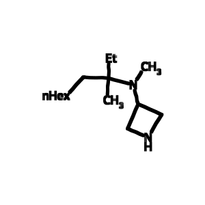 CCCCCCCC(C)(CC)N(C)C1CNC1